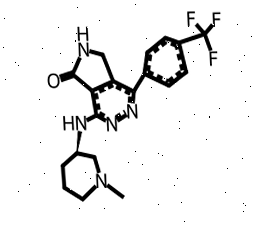 CN1CCC[C@@H](Nc2nnc(-c3ccc(C(F)(F)F)cc3)c3c2C(=O)NC3)C1